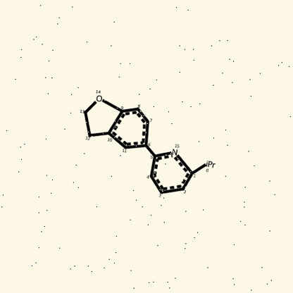 CC(C)c1cccc(-c2ccc3c(c2)CCO3)n1